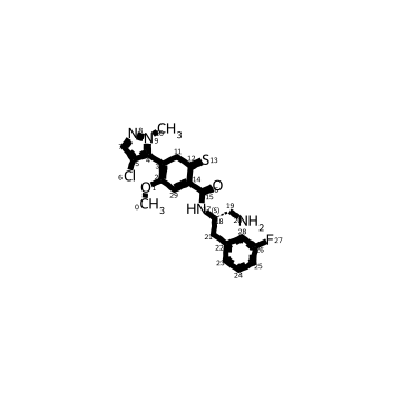 COC1=C(c2c(Cl)cnn2C)CC(=S)C(C(=O)N[C@H](CN)Cc2cccc(F)c2)=C1